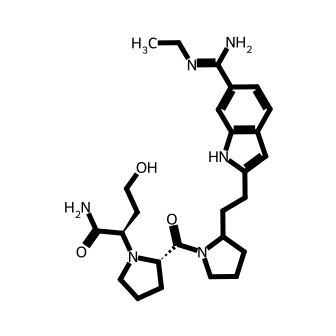 CCN=C(N)c1ccc2cc(CCC3CCCN3C(=O)[C@@H]3CCCN3[C@H](CCO)C(N)=O)[nH]c2c1